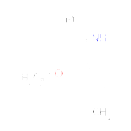 C=CC(=O)NC(C)C.[CaH2]